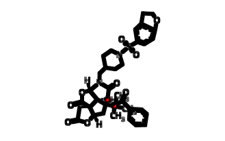 CC(C)(C)[C@]1(O)C[C@@H]2OC(=O)C[C@@]23C(=O)O[C@@H]2N(CC4CCN(S(=O)(=O)c5ccc6c(c5)CCO6)CC4)C(=O)[C@H](OC(=O)c4ccccc4)[C@]213